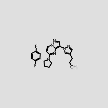 OCCc1cnn(-c2cnn3ccc(N4CCC[C@@H]4c4cc(F)ccc4F)nc23)c1